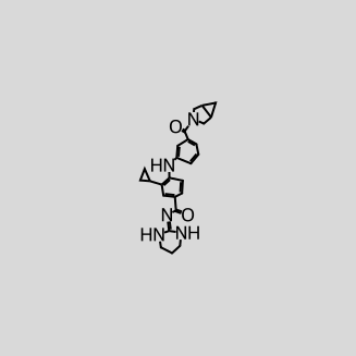 O=C(N=C1NCCCN1)c1ccc(Nc2cccc(C(=O)N3CC4CC4C3)c2)c(C2CC2)c1